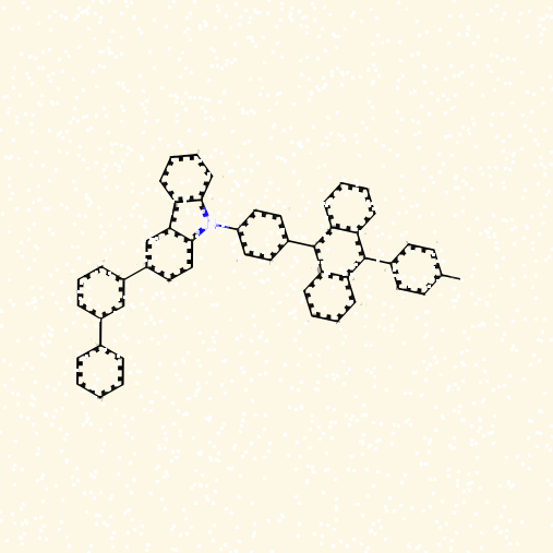 FC(F)(F)c1ccc(-c2c3ccccc3c(-c3ccc(-n4c5ccccc5c5cc(-c6cccc(-c7ccccc7)c6)ccc54)cc3)c3ccccc23)cc1